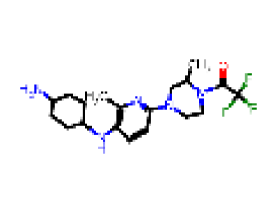 Cc1nc(N2CCN(C(=O)C(F)(F)F)C(C)C2)ccc1NC1CCC(N)CC1